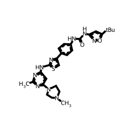 Cc1nc(Nc2nc(-c3ccc(NC(=O)Nc4cc(C(C)(C)C)on4)cc3)cs2)cc(N2CCN(C)CC2)n1